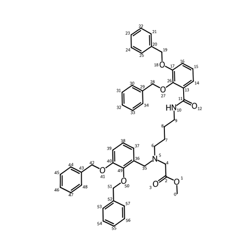 COC(=O)CN(CCCCNC(=O)c1cccc(OCc2ccccc2)c1OCc1ccccc1)Cc1cccc(OCc2ccccc2)c1OCc1ccccc1